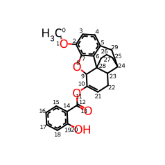 COc1ccc2c3c1OC1C(OC(=O)c4ccccc4O)=CCC4C(CCCC314)C2